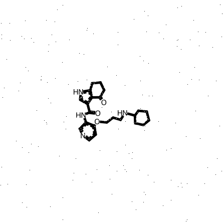 O=C(Nc1cnccc1OCCCNC1CCCCC1)c1c[nH]c2c1C(=O)CCC2